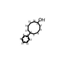 OC1CCCCC(c2ccccc2)CCCC1